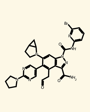 NC(=O)c1nn(C(=O)Nc2cccc(Br)n2)c2cc(N3CCC4CC43)c(-c3cnc(N4CCCC4)nc3)c(CC=O)c12